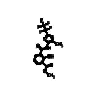 COC(=O)c1cccc(C(=O)Nc2nc(C(F)(F)C(F)(F)F)cn2C)c1O